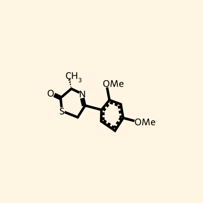 COc1ccc(C2=N[C@@H](C)C(=O)SC2)c(OC)c1